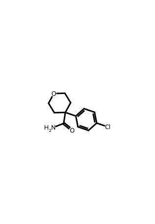 NC(=O)C1(c2ccc(Cl)cc2)CCOCC1